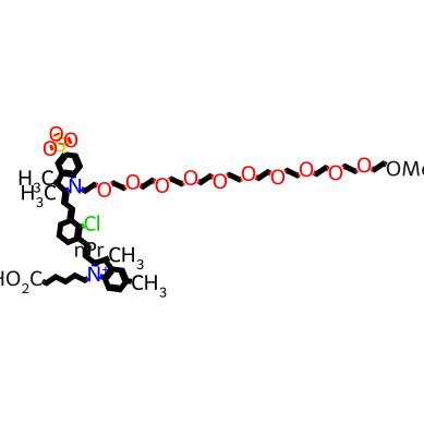 CCCC1(C)C(C=CC2=C(Cl)C(=CC=C3N(CCOCCOCCOCCOCCOCCOCCOCCOCCOCCOCCOC)c4ccc(S(=O)(=O)[O-])cc4C3(C)C)CCC2)=[N+](CCCCCC(=O)O)c2ccc(C)cc21